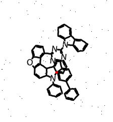 C1=CC2C(c3ccccc3N2c2ccccc2)c2c1oc1cccc(-c3nc(-c4ccc(-c5ccccc5)cc4)nc(-n4c5ccccc5c5ccccc54)n3)c21